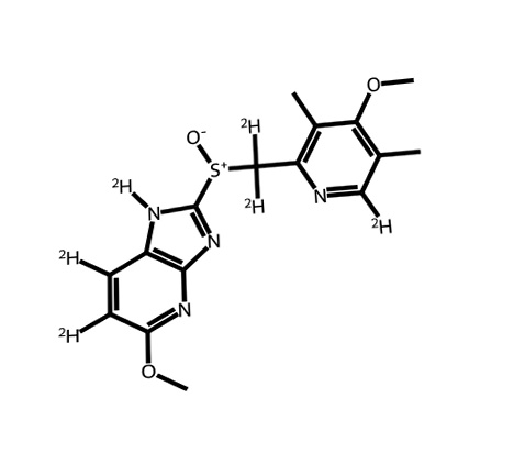 [2H]c1nc(C([2H])([2H])[S+]([O-])c2nc3nc(OC)c([2H])c([2H])c3n2[2H])c(C)c(OC)c1C